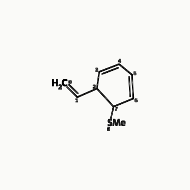 C=CC1C=CC=CC1SC